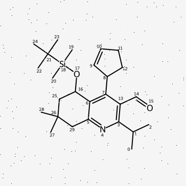 CC(C)c1nc2c(c(C3C=CCC3)c1C=O)C(O[Si](C)(C)C(C)(C)C)CC(C)(C)C2